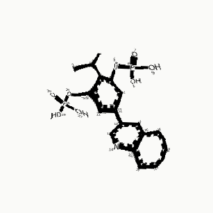 CC(C)c1c(OP(=O)(O)O)cc(-c2cnc3ccccc3c2)cc1OP(=O)(O)O